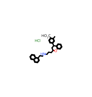 Cc1cc(C2CC(CCCNCCc3cccc4ccccc34)Oc3ccccc32)ccc1C(=O)O.Cl